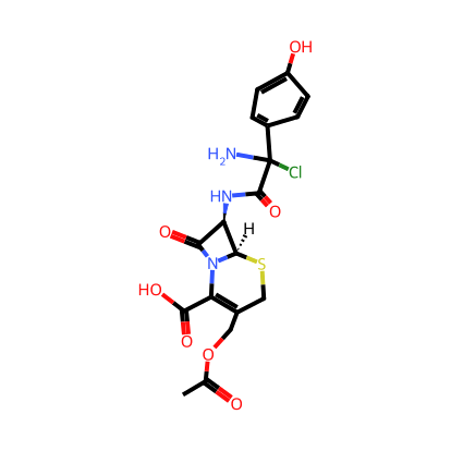 CC(=O)OCC1=C(C(=O)O)N2C(=O)[C@@H](NC(=O)C(N)(Cl)c3ccc(O)cc3)[C@H]2SC1